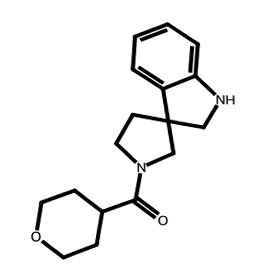 O=C(C1CCOCC1)N1CCC2(CNc3ccccc32)C1